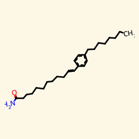 CCCCCCCCc1ccc(/C=C/CCCCCCCCCC(N)=O)cc1